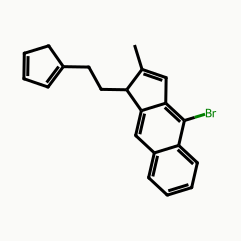 CC1=Cc2c(cc3ccccc3c2Br)C1CCC1=CC=CC1